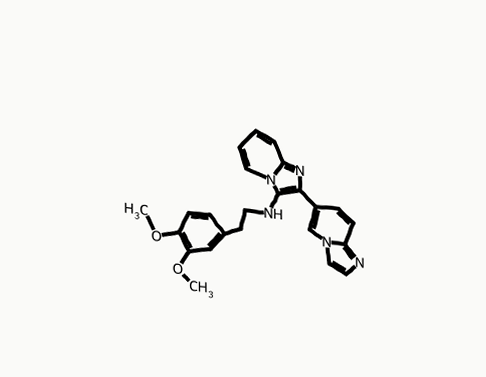 COc1ccc(CCNc2c(-c3ccc4nccn4c3)nc3ccccn23)cc1OC